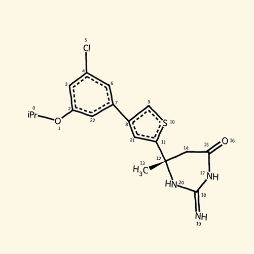 CC(C)Oc1cc(Cl)cc(-c2csc([C@]3(C)CC(=O)NC(=N)N3)c2)c1